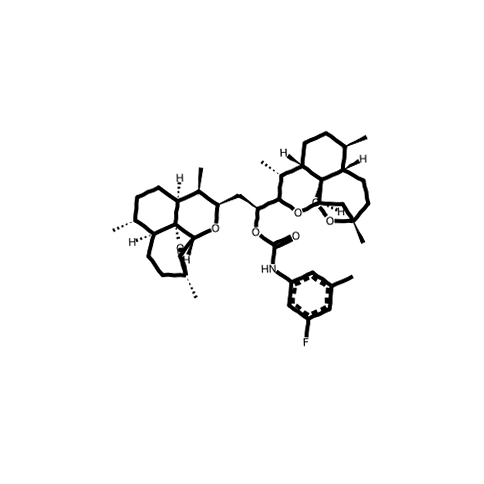 Cc1cc(F)cc(NC(=O)O[C@@H](C[C@H]2O[C@@H]3C[C@]4(C)CC[C@H]5[C@H](C)CC[C@@H]([C@H]2C)[C@@]35OO4)C2O[C@@H]3C[C@]4(C)CC[C@H]5[C@H](C)CC[C@@H]([C@H]2C)[C@@]35OO4)c1